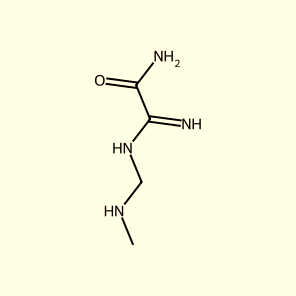 CNCNC(=N)C(N)=O